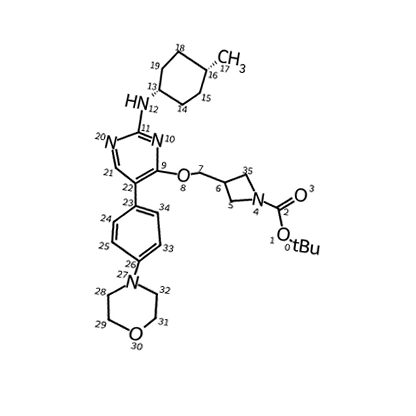 CC(C)(C)OC(=O)N1CC(COc2nc(N[C@H]3CC[C@@H](C)CC3)ncc2-c2ccc(N3CCOCC3)cc2)C1